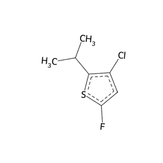 CC(C)c1sc(F)cc1Cl